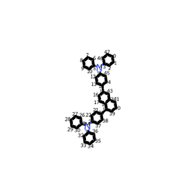 c1ccc(N(c2ccccc2)c2ccc(-c3ccc4c(-c5ccc(N(c6ccccc6)c6ccccc6)cc5)cccc4c3)cc2)cc1